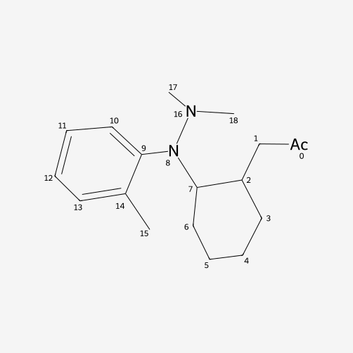 CC(=O)CC1CCCCC1N(c1ccccc1C)N(C)C